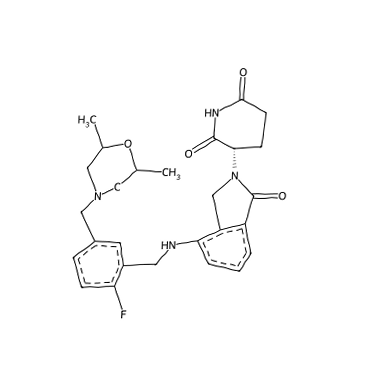 CC1CN(Cc2ccc(F)c(CNc3cccc4c3CN([C@H]3CCC(=O)NC3=O)C4=O)c2)CC(C)O1